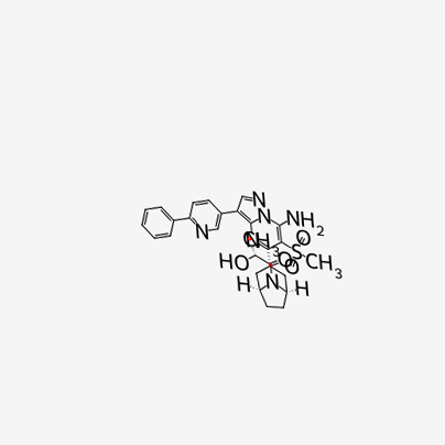 C[C@@H](O)C(=O)N1[C@@H]2CC[C@H]1C[C@H](c1nc3c(-c4ccc(-c5ccccc5)nc4)cnn3c(N)c1S(C)(=O)=O)C2